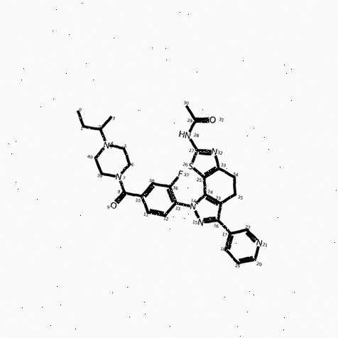 CCC(C)N1CCN(C(=O)c2ccc(-n3nc(-c4cccnc4)c4c3-c3sc(NC(C)=O)nc3CC4)c(F)c2)CC1